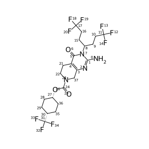 Nc1nc2c(c(=O)n1C(CCC(F)(F)F)CCC(F)(F)F)CCN(C(=O)O[C@H]1CC[C@@H](C(F)(F)F)CC1)C2